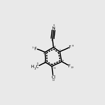 Cc1c(F)c(C#N)c(F)c(F)c1Cl